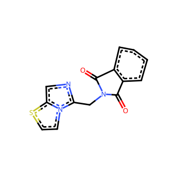 O=C1c2ccccc2C(=O)N1Cc1ncc2sccn12